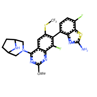 COc1nc(N2CC3CCC(C2)N3)c2cc(SC(F)(F)F)c(-c3ccc(F)c4sc(N)nc34)c(F)c2n1